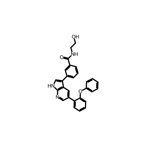 O=C(NCCO)c1cccc(-c2c[nH]c3ncc(-c4ccccc4Oc4ccccc4)cc23)c1